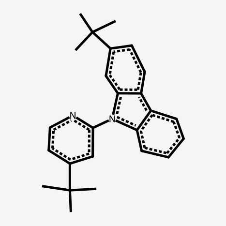 CC(C)(C)c1ccnc(-n2c3ccccc3c3ccc(C(C)(C)C)cc32)c1